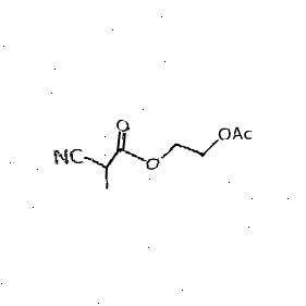 CC(=O)OCCOC(=O)C(C)C#N